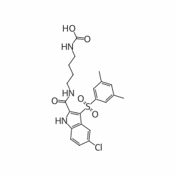 Cc1cc(C)cc(S(=O)(=O)c2c(C(=O)NCCCCNC(=O)O)[nH]c3ccc(Cl)cc23)c1